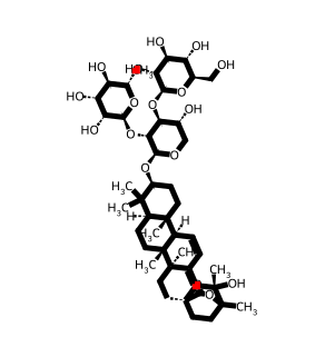 C[C@@H]1O[C@@H](O[C@H]2[C@H](O[C@H]3CC[C@]4(C)[C@H]5C=CC6=C7[C@@]8(CCC(C)(OC8=O)[C@@]7(C)O)CC[C@@]6(C)[C@]5(C)CC[C@H]4C3(C)C)OC[C@@H](O)[C@@H]2O[C@@H]2O[C@H](CO)[C@@H](O)[C@H](O)[C@H]2O)[C@H](O)[C@H](O)[C@H]1O